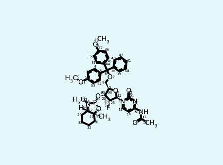 COc1ccc(C(OC[C@H]2O[C@@H](n3ccc(NC(C)=O)nc3=O)[C@H](F)[C@@H]2OP2O[C@@]3(C)CCCC[C@@H]3N2C)(c2ccccc2)c2ccc(OC)cc2)cc1